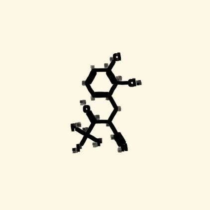 N#CC(Cc1cccc(Cl)c1Cl)C(=O)C(F)(F)F